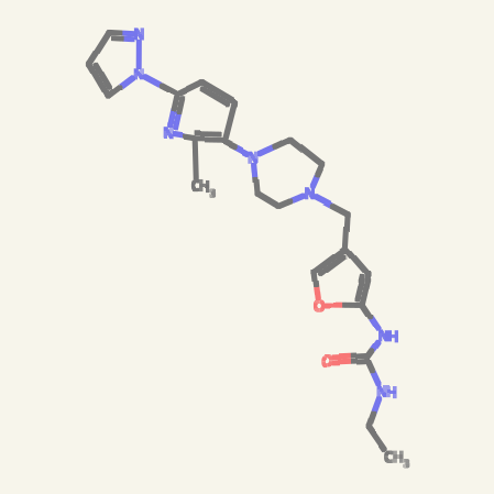 CCNC(=O)Nc1cc(CN2CCN(c3ccc(-n4cccn4)nc3C)CC2)co1